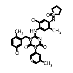 Cc1cncc(-n2c(=O)nc(NC3=CC(C)[C@H](N=S4(=O)CCCC4)C=C3Cl)n(Cc3cc(Cl)ccc3C)c2=O)c1